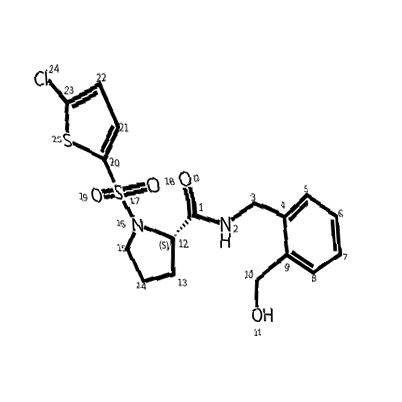 O=C(NCc1ccccc1CO)[C@@H]1CCCN1S(=O)(=O)c1ccc(Cl)s1